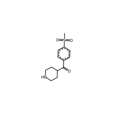 CS(=O)(=O)c1ccc(C(=O)C2CCNCC2)cc1